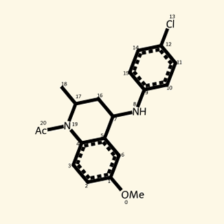 COc1ccc2c(c1)C(Nc1ccc(Cl)cc1)CC(C)N2C(C)=O